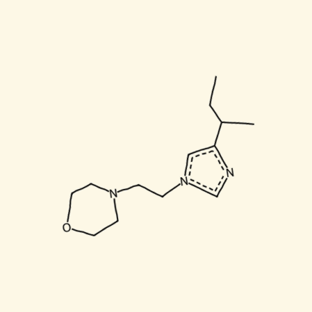 CCC(C)c1cn(CCN2CCOCC2)cn1